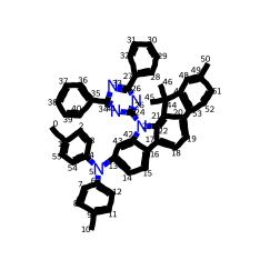 Cc1ccc(N(c2ccc(C)cc2)c2ccc3c4ccc5c(c4n(-c4nc(-c6ccccc6)nc(-c6ccccc6)n4)c3c2)C(C)(C)c2cc(C)ccc2-5)cc1